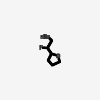 CCCCCC(F)C1CCCO1